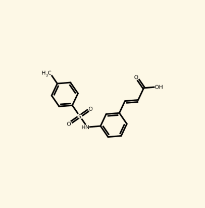 Cc1ccc(S(=O)(=O)Nc2cccc(C=CC(=O)O)c2)cc1